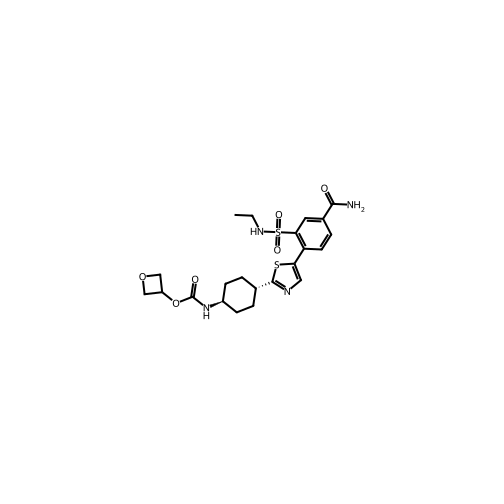 CCNS(=O)(=O)c1cc(C(N)=O)ccc1-c1cnc([C@H]2CC[C@H](NC(=O)OC3COC3)CC2)s1